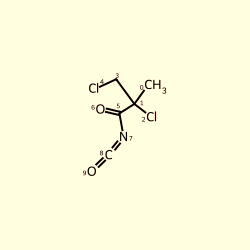 CC(Cl)(CCl)C(=O)N=C=O